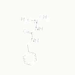 CN(C)NC(=O)NCc1ccccc1